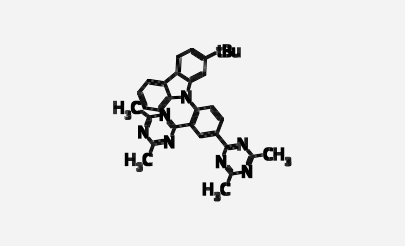 Cc1nc(C)nc(-c2ccc(-n3c4ccccc4c4ccc(C(C)(C)C)cc43)c(-c3nc(C)nc(C)n3)c2)n1